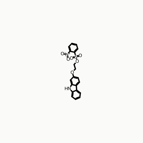 O=[N+]([O-])c1ccccc1S(=O)(=O)OCCOc1ccc2c(c1)[nH]c1ccccc12